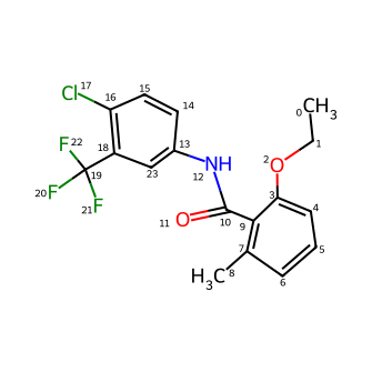 CCOc1cccc(C)c1C(=O)Nc1ccc(Cl)c(C(F)(F)F)c1